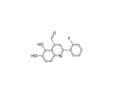 O=Cc1cc(-c2ccccc2F)nc2ccc(O)c(O)c12